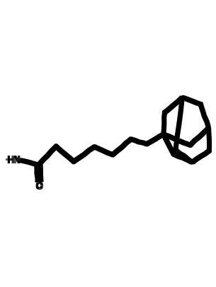 [NH]C(=O)CCCCCCC12CC3CC(CC(C3)C1)C2